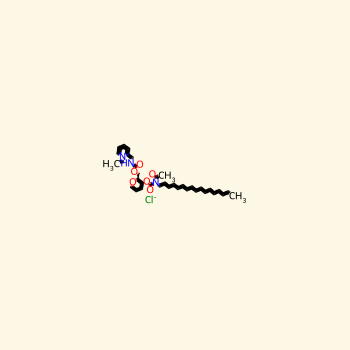 CCCCCCCCCCCCCCCCCN(C(C)=O)C(=O)O[C@@H]1CCCO[C@H]1COC(=O)NCc1cccc[n+]1CC.[Cl-]